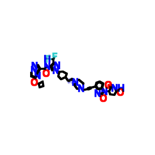 Cn1c(=O)n(C2CCC(=O)NC2=O)c2cccc(C#CCN3CCN(/C=C/C4CCC(n5cc(NC(=O)c6cnn7ccc(OC8CCC8)nc67)c(C(F)F)n5)CC4)CC3)c21